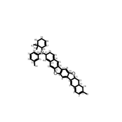 CC1=CC=C2C=C3c4cc5oc6cc7c(cc6c5cc4OC3CC2C1)=CCC(N(c1cccc(C)c1)C1C=CCCC1(C)C)C=7